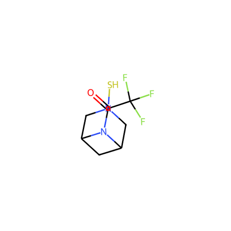 O=C(N1C2CC1CN(S)C2)C(F)(F)F